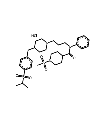 CC(C)S(=O)(=O)c1ccc(CC2CCN(CCCN(C(=O)C3CCN(S(C)(=O)=O)CC3)c3ccccc3)CC2)cc1.Cl